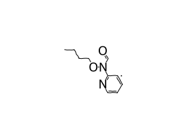 CCCCON(C=O)c1[c]cccn1